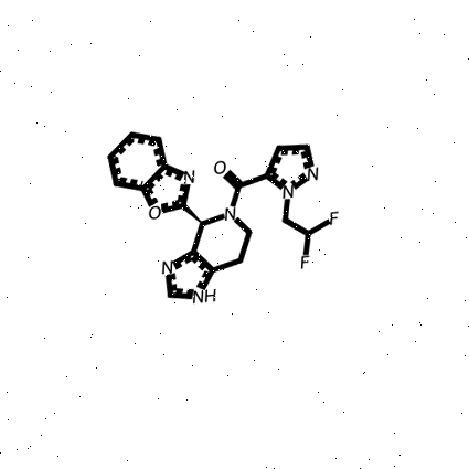 O=C(c1ccnn1CC(F)F)N1CCc2[nH]cnc2[C@H]1c1nc2ccccc2o1